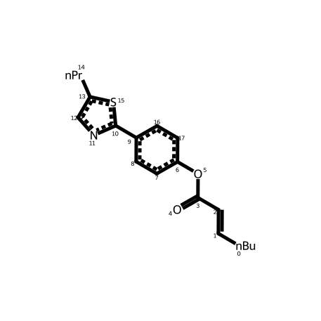 CCCC/C=C/C(=O)Oc1ccc(-c2ncc(CCC)s2)cc1